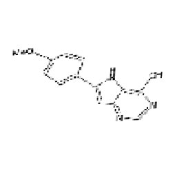 COc1ccc(-c2cc3ncnc(O)c3[nH]2)cc1